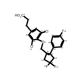 O=C(O)CCc1cc(Cl)c(OCC2=C(c3ccc(F)cc3)CC(F)(F)C2)c(Cl)c1